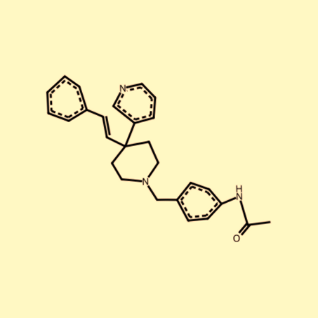 CC(=O)Nc1ccc(CN2CCC(/C=C/c3ccccc3)(c3cccnc3)CC2)cc1